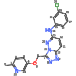 Cc1ccc(OCc2nnc3ccc(Nc4cccc(Cl)c4)nn23)cn1